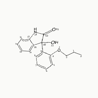 CCCOc1ccccc1C1(O)C(=O)Nc2ccccc21